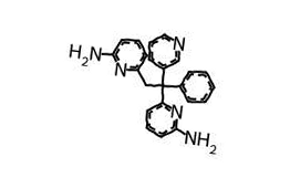 Nc1cccc(CC(c2ccccc2)(c2cccnc2)c2cccc(N)n2)n1